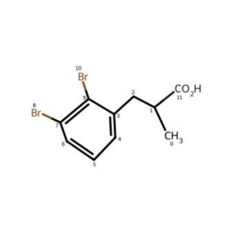 CC(Cc1cccc(Br)c1Br)C(=O)O